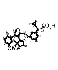 COc1ccc(F)c(-c2noc(COc3cccc([C@@H](CC(=O)O)C4CC4)c3)c2C2=CCCC2(C)C)c1